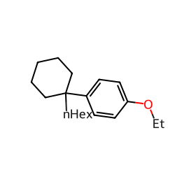 CCCCCCC1(c2ccc(OCC)cc2)CCCCC1